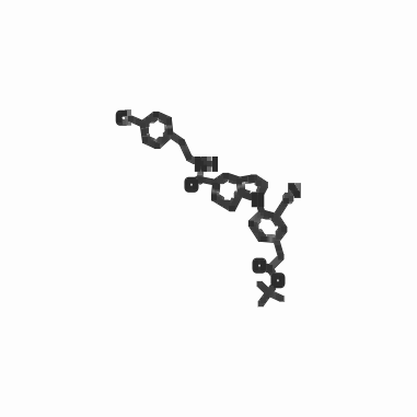 CC(C)(C)OC(=O)Cc1ccc(-n2ccc3cc(C(=O)NCCc4ccc(Cl)cc4)ccc32)c(C#N)c1